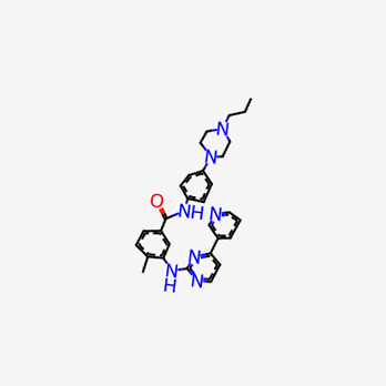 CCCN1CCN(c2ccc(NC(=O)c3ccc(C)c(Nc4nccc(-c5cccnc5)n4)c3)cc2)CC1